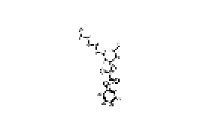 CCCCCCCCC(CCC)OC(=O)C(=O)Oc1ccccc1